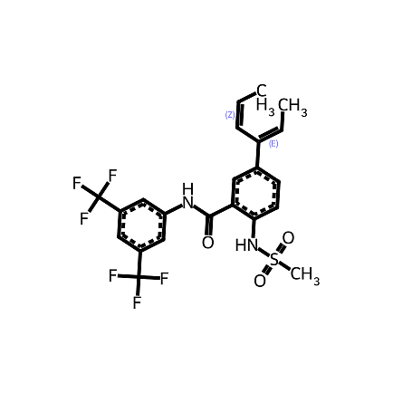 C/C=C\C(=C/C)c1ccc(NS(C)(=O)=O)c(C(=O)Nc2cc(C(F)(F)F)cc(C(F)(F)F)c2)c1